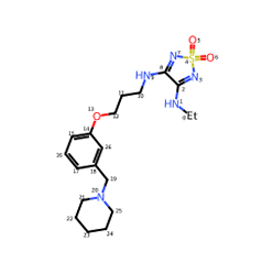 CCNC1=NS(=O)(=O)N=C1NCCCOc1cccc(CN2CCCCC2)c1